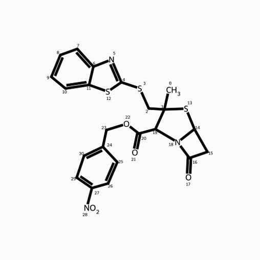 CC1(CSc2nc3ccccc3s2)SC2CC(=O)N2C1C(=O)OCc1ccc([N+](=O)[O-])cc1